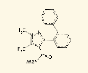 CNC(=O)c1c(-c2ccccc2-c2ccccc2)nn(C)c1C(F)(F)F